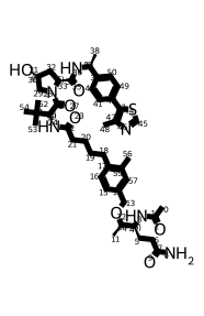 CC(=O)N[C@@H](CCC(N)=O)[C@@H](C)OCc1ccc(CCCCC(=O)N[C@H](C(=O)N2C[C@H](O)C[C@H]2C(=O)N[C@@H](C)c2ccc(-c3scnc3C)cc2)C(C)(C)C)c(C)c1